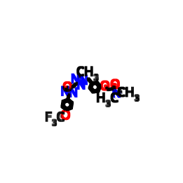 Cc1nc(-c2nc(-c3ccc(OC(F)(F)F)cc3)no2)nn1Cc1cccc(OCC(=O)N(C)C)c1